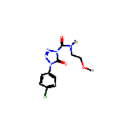 CCOCCN(CC)C(=O)n1nnn(-c2ccc(Cl)cc2)c1=O